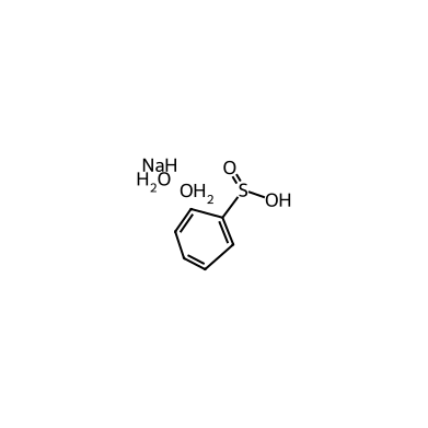 O.O.O=S(O)c1ccccc1.[NaH]